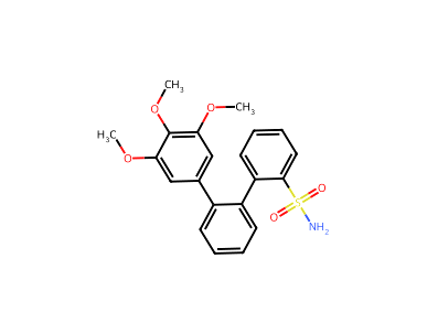 COc1cc(-c2ccccc2-c2ccccc2S(N)(=O)=O)cc(OC)c1OC